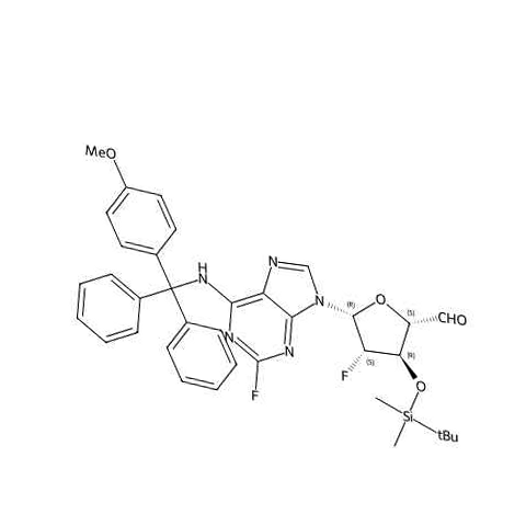 COc1ccc(C(Nc2nc(F)nc3c2ncn3[C@@H]2O[C@H](C=O)[C@@H](O[Si](C)(C)C(C)(C)C)[C@@H]2F)(c2ccccc2)c2ccccc2)cc1